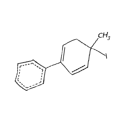 CC1(I)C=CC(c2ccccc2)=CC1